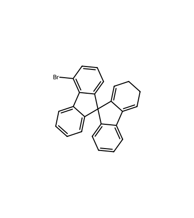 Brc1cccc2c1-c1ccccc1C21C2=CCCC=C2c2ccccc21